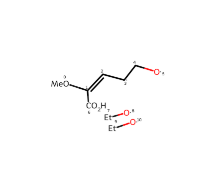 COC(=C[CH]C[O])C(=O)O.[CH]C[O].[CH]C[O]